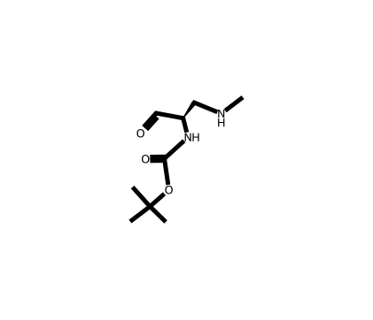 CNC[C@H](C=O)NC(=O)OC(C)(C)C